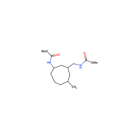 COC(=O)NCC1CC(C)CCCC(NC(=O)OC)C1